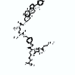 CC(C)[C@H](NC(=O)CCC(=O)O)C(=O)N[C@@H](CCCNC(N)=O)C(=O)Nc1ccc(COC(=O)N(C)CCN(C)C(=O)O[C@H]2CC[C@@]3(C)C(=CC[C@@H]4[C@@H]3CC[C@]3(C)C(c5cccnc5)=CC[C@@H]43)C2)cc1